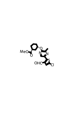 COC(=O)[C@H]1CCC[C@H](Oc2ncc(-c3sc(Cl)cc3C=O)nc2C)C1